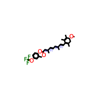 COC1CC(C)=C(/C=C/C(C)=C/C=C/C(C)=C/C(=O)Oc2ccc(OC(F)(F)F)cc2C)C(C)=C1C